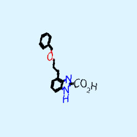 O=C(O)c1nc2c(CCCOCc3ccccc3)cccc2[nH]1